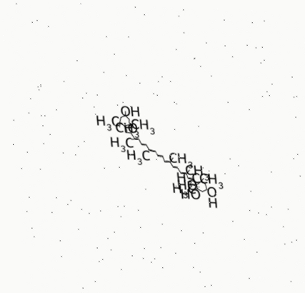 CC(/C=C/C=C(C)/C=C/C1(O)C(C)(C)CC(O)CC1(C)O)=C\C=C\C=C(C)\C=C\C=C(/C)C1C=C2C(C)(C)CC(O)CC2(C)O1